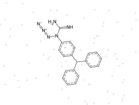 [N-]=[N+]=NN(C(=N)N)c1ccc(C(c2ccccc2)c2ccccc2)cc1